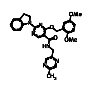 COc1ccc(OC)c(COc2nc(N3CCc4ccccc43)ncc2C(=O)NCc2cnc(C)cn2)c1